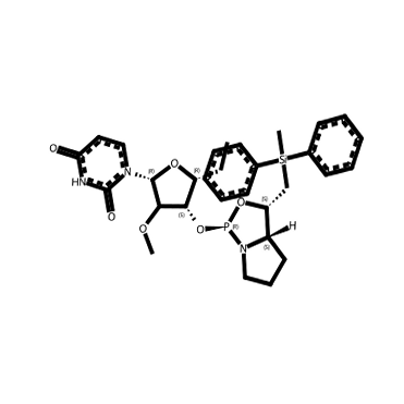 CC[C@H]1O[C@@H](n2ccc(=O)[nH]c2=O)C(OC)[C@H]1O[P@@]1O[C@H](C[Si](C)(c2ccccc2)c2ccccc2)[C@@H]2CCCN21